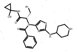 CC(C)C[C@@H](C(=O)NC1(C#N)CC1)N(C(=O)c1ccccc1)c1csc(NC2CCNCC2)n1